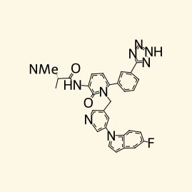 CN[C@@H](C)C(=O)Nc1ccc(-c2cccc(-c3nn[nH]n3)c2)n(Cc2cncc(-n3ccc4cc(F)ccc43)c2)c1=O